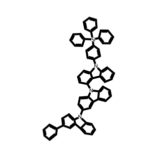 c1ccc(-c2ccc3c(c2)c2ccccc2n3-c2ccc3c(c2)c2ccccc2n3-c2cccc3c2c2ccccc2n3-c2ccc([Si](c3ccccc3)(c3ccccc3)c3ccccc3)cc2)cc1